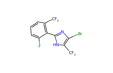 Fc1cccc(C(F)(F)F)c1-c1nc(Br)c(C(F)(F)F)[nH]1